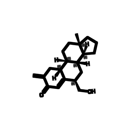 C=C1C[C@H]2C(=CC1=O)[C@H](CO)C[C@@H]1[C@@H]2CC[C@]2(C)CCC[C@@H]12